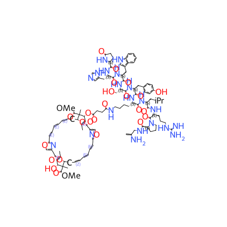 C=C(N)CNC(=O)[C@@H]1CCCN1C(=O)[C@H](CCCNC(=N)N)NC(=O)[C@H](CC(C)C)NC(=O)[C@H](CCCCNC(=O)CCC(=O)OC(/C=C/C)C(C)(C(=O)OC)C1C\C=C/C=C/C=C/c2nc(co2)C(=O)OC(C(C)(C(=O)OC)C(O)/C=C/C)C\C=C/C=C/C=C/c2nc(co2)C(=O)O1)NC(=O)[C@H](Cc1ccc(O)cc1)NC(=O)[C@H](CO)NC(=O)[C@H](Cc1c[nH]c2ccccc12)NC(=O)[C@H](Cc1cnc[nH]1)NC(=O)[C@@H]1CCC(=O)N1